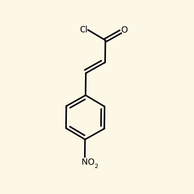 O=C(Cl)C=Cc1ccc([N+](=O)[O-])cc1